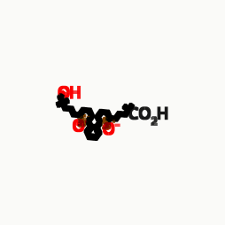 CC(C)(CO)CCCC1CCCC(c2ccccc2C2CCCC(CCCC(C)(C)C(=O)O)[S+]2[O-])[S+]1[O-]